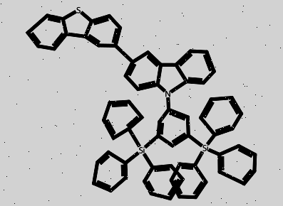 c1ccc([Si](c2ccccc2)(c2ccccc2)c2cc(-n3c4ccccc4c4cc(-c5ccc6sc7ccccc7c6c5)ccc43)cc([Si](c3ccccc3)(c3ccccc3)c3ccccc3)c2)cc1